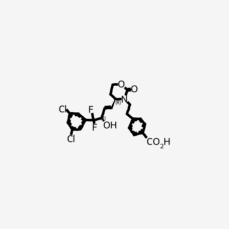 O=C(O)c1ccc(CCN2C(=O)OCC[C@@H]2C=C[C@@H](O)C(F)(F)c2cc(Cl)cc(Cl)c2)cc1